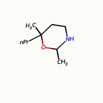 CCCC1(C)CCNC(C)O1